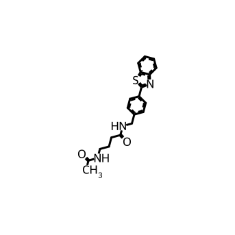 CC(=O)NCCCC(=O)NCc1ccc(-c2nc3ccccc3s2)cc1